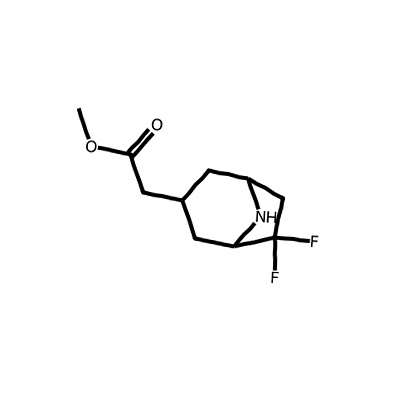 COC(=O)CC1CC2CC(F)(F)C(C1)N2